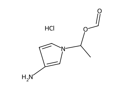 CC(OC=O)n1ccc(N)c1.Cl